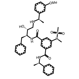 COc1cccc([C@@H](C)NC[C@@H](O)[C@H](Cc2ccccc2)NC(=O)c2cc(C(=O)N[C@H](C)c3ccccc3)cc(N(C)S(C)(=O)=O)c2)c1